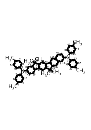 Cc1ccc(N(c2ccc(C)cc2)c2ccc3c(c2)C(C)(C)c2cc4c(cc2-3)C(C)(C)c2cc3cc(N(c5ccc(C)cc5)c5ccc(C)cc5)ccc3cc2-4)cc1